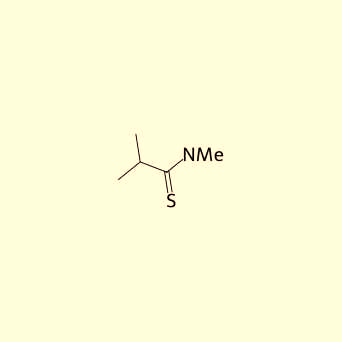 CNC(=S)C(C)C